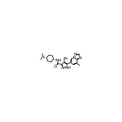 Cc1cc(-c2[nH]nc(C(=O)N[C@H]3CC[C@@H](N(C)C)CC3)c2C(C)C)cn2ncnc12